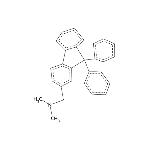 CN(C)Cc1ccc2c(c1)C(c1ccccc1)(c1ccccc1)c1ccccc1-2